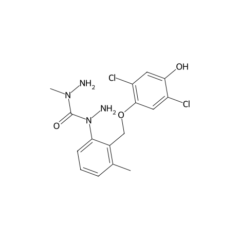 Cc1cccc(N(N)C(=O)N(C)N)c1COc1cc(Cl)c(O)cc1Cl